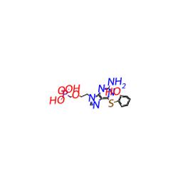 Nc1nc(Sc2ccccc2O)c2ncn(CCOCP(=O)(O)O)c2n1